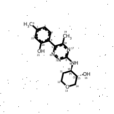 Cc1ccc(-c2nnc(N[C@@H]3CCOC[C@H]3O)nc2C)c(O)c1